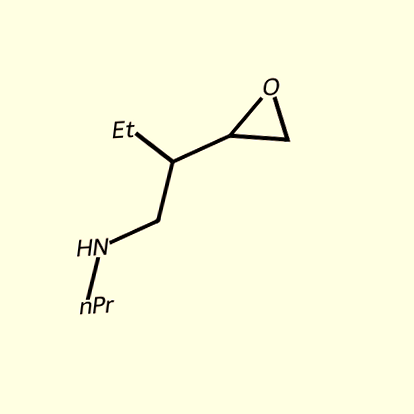 CCCNCC(CC)C1CO1